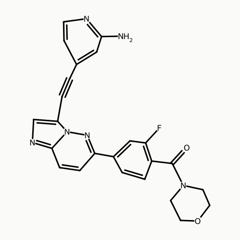 Nc1cc(C#Cc2cnc3ccc(-c4ccc(C(=O)N5CCOCC5)c(F)c4)nn23)ccn1